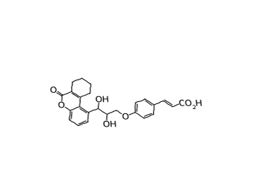 O=C(O)/C=C/c1ccc(OCC(O)C(O)c2cccc3oc(=O)c4c(c23)CCCC4)cc1